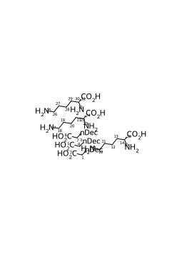 CCCCCCCCCCCC(=O)O.CCCCCCCCCCCC(=O)O.CCCCCCCCCCCC(=O)O.NCCCC[C@H](N)C(=O)O.NCCCC[C@H](N)C(=O)O.NCCCC[C@H](N)C(=O)O